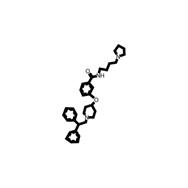 O=C(NCCCCN1CCCC1)c1cccc(OC2CCN(CC(c3ccccc3)c3ccccc3)CC2)c1